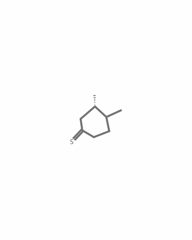 CC1CCC(=S)C[C@@H]1C